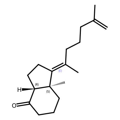 C=C(C)CCC/C(C)=C1\CC[C@H]2C(=O)CCC[C@]12C